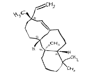 C=C[C@]1(C)C=C2CC[C@@H]3C(C)(C)CCC[C@@]3(C)[C@@H]2CC1